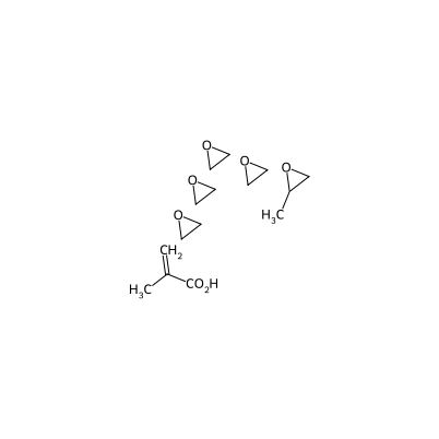 C1CO1.C1CO1.C1CO1.C1CO1.C=C(C)C(=O)O.CC1CO1